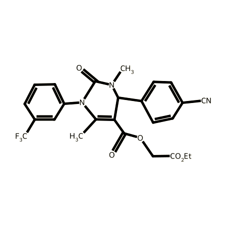 CCOC(=O)COC(=O)C1=C(C)N(c2cccc(C(F)(F)F)c2)C(=O)N(C)C1c1ccc(C#N)cc1